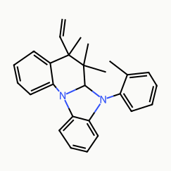 C=CC1(C)c2ccccc2N2c3ccccc3N(c3ccccc3C)C2C1(C)C